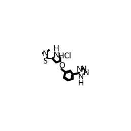 CN(C)C(=S)[C@@H]1C[C@@H](OCc2cccc(-c3nnn[nH]3)c2)CN1.Cl